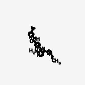 CC=CN1CCC(c2nc(-c3ccc(C(=O)Nc4cc(C5CC5)ccn4)cn3)n3c(N)nccc23)C1